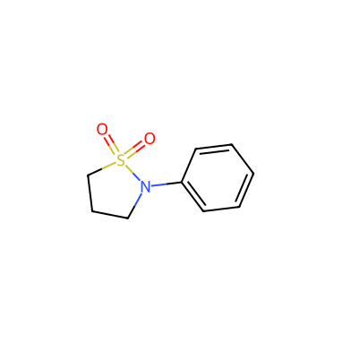 O=S1(=O)CCCN1c1ccccc1